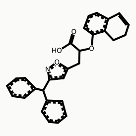 O=C(O)C(Cc1cc(C(c2ccccc2)c2ccccc2)no1)Oc1cccc2c1CCC=C2